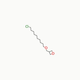 ClCCCCCCCCCCOCC1COC1